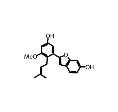 COc1cc(O)cc(-c2cc3ccc(O)cc3o2)c1CC=C(C)C